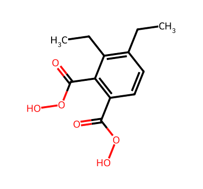 CCc1ccc(C(=O)OO)c(C(=O)OO)c1CC